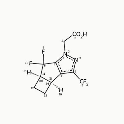 O=C(O)Cn1nc(C(F)(F)F)c2c1C(F)(F)[C@@H]1CC[C@H]21